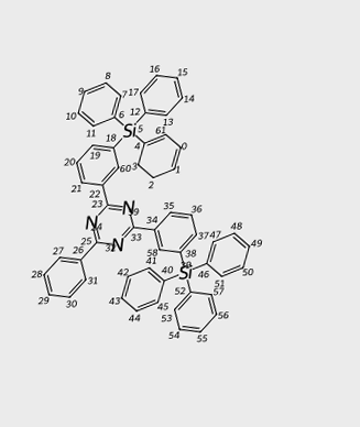 C1=CCCC([Si](c2ccccc2)(c2ccccc2)c2cccc(-c3nc(-c4ccccc4)nc(-c4cccc([Si](c5ccccc5)(c5ccccc5)c5ccccc5)c4)n3)c2)=C1